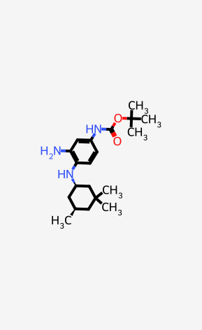 C[C@H]1C[C@@H](Nc2ccc(NC(=O)OC(C)(C)C)cc2N)CC(C)(C)C1